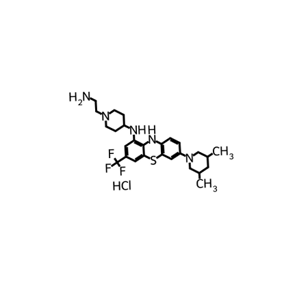 CC1CC(C)CN(c2ccc3c(c2)Sc2cc(C(F)(F)F)cc(NC4CCN(CCN)CC4)c2N3)C1.Cl